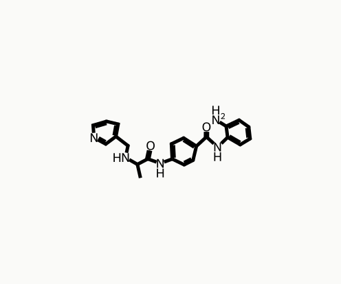 CC(NCc1cccnc1)C(=O)Nc1ccc(C(=O)Nc2ccccc2N)cc1